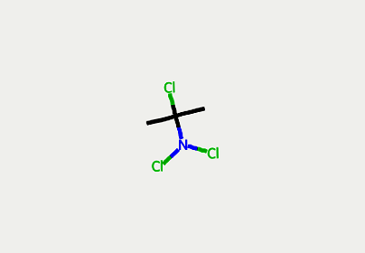 CC(C)(Cl)N(Cl)Cl